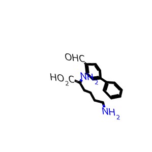 NCCCCC(N)C(=O)O.O=Cc1ccc(-c2ccccc2)cc1